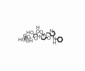 O=c1ccn([C@@H]2O[C@H](COP(=O)(O)O)C(O)[C@@H]2O)c(=O)n1Cc1cc(Nc2ccccc2)ccn1